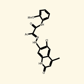 COc1ccccc1NC(=O)/C(=N/Nc1cc2[nH]c(=O)cc(C)c2cc1Cl)C(C)=O